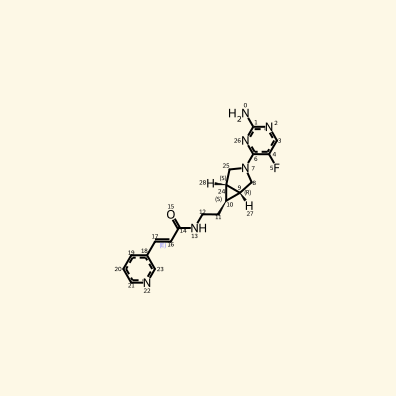 Nc1ncc(F)c(N2C[C@@H]3[C@@H](CCNC(=O)/C=C/c4cccnc4)[C@@H]3C2)n1